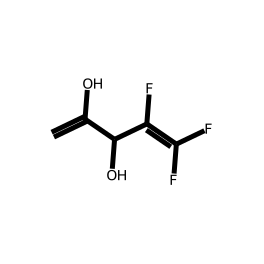 C=C(O)C(O)C(F)=C(F)F